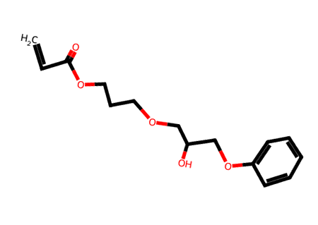 C=CC(=O)OCCCOCC(O)COc1ccccc1